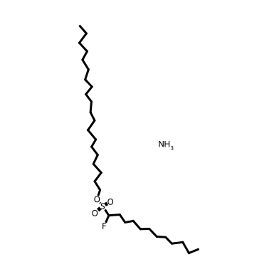 CCCCCCCCCCCCCCCCCCCCOS(=O)(=O)C(F)CCCCCCCCCCC.N